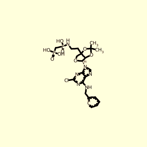 CC1(C)OC2[C@H](n3cnc4c(NCc5ccccc5)nc(Cl)nc43)OCC2(CCNP(=O)(O)CP(=O)(O)O)O1